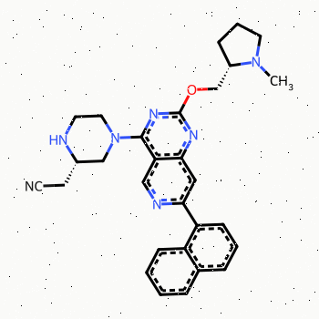 CN1CCC[C@H]1COc1nc(N2CCN[C@@H](CC#N)C2)c2cnc(-c3cccc4ccccc34)cc2n1